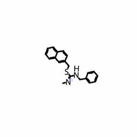 C/N=C(/NCc1ccccc1)SCc1ccc2ccccc2c1